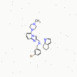 CN1CCN(c2cccc3nc(CN(Cc4cccc(Br)c4)[C@H]4CCCc5cccnc54)cn23)CC1